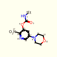 CCNC(=O)Oc1cc(N2CCOCC2)cnc1[N+](=O)[O-]